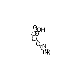 O=C(O)C1CCC2=C(C=C(COc3ccc(-c4ccn[nH]4)nc3)C=CC2)O1